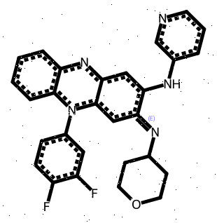 Fc1ccc(-n2c3c/c(=N\C4CCOCC4)c(Nc4cccnc4)cc-3nc3ccccc32)cc1F